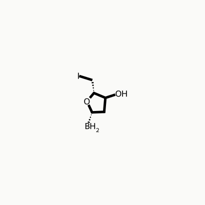 B[C@H]1CC(O)[C@@H](CI)O1